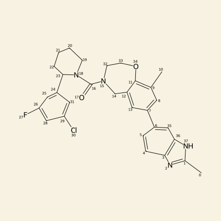 Cc1nc2ccc(-c3cc(C)c4c(c3)CN(C(=O)N3CCCCC3c3cc(F)cc(Cl)c3)CCO4)cc2[nH]1